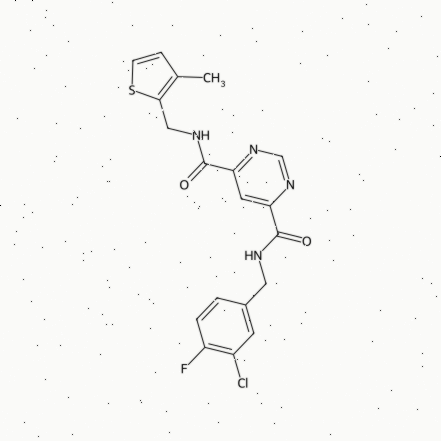 Cc1ccsc1CNC(=O)c1cc(C(=O)NCc2ccc(F)c(Cl)c2)ncn1